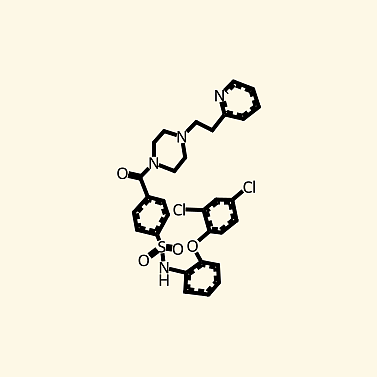 O=C(c1ccc(S(=O)(=O)Nc2ccccc2Oc2ccc(Cl)cc2Cl)cc1)N1CCN(CCc2ccccn2)CC1